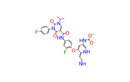 COC(=O)NC1=CN/C(=C\C=N)C(Oc2ccc(NC(=O)c3cn(C(C)C)c(=O)n(-c4ccc(F)cc4)c3=O)cc2F)=C1